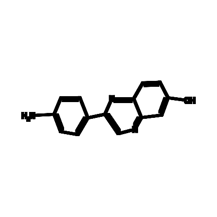 Nc1ccc(-c2cnc3cc(O)ccc3n2)cc1